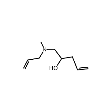 C=CCC(O)CN(C)CC=C